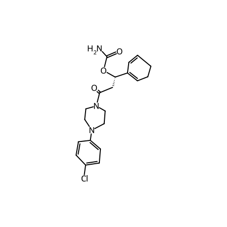 NC(=O)O[C@@H](CC(=O)N1CCN(c2ccc(Cl)cc2)CC1)C1=CCCC=C1